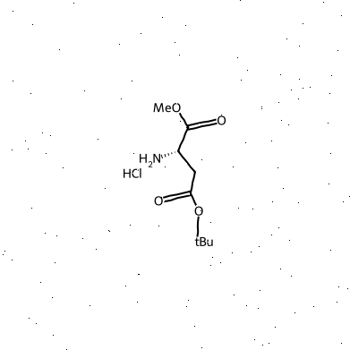 COC(=O)[C@@H](N)CC(=O)OC(C)(C)C.Cl